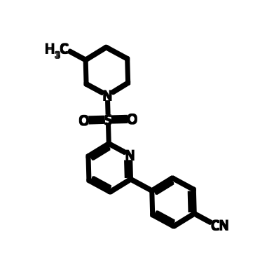 CC1CCCN(S(=O)(=O)c2cccc(-c3ccc(C#N)cc3)n2)C1